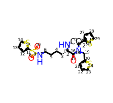 O=C(O)N[C@@H](CCCCNS(=O)(=O)c1cccs1)C(=O)N(Cc1cccs1)Cc1cccs1